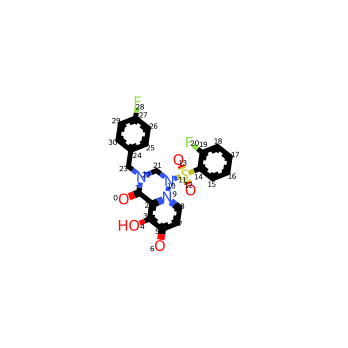 O=C1c2c(O)c(=O)ccn2N(S(=O)(=O)c2ccccc2F)CN1Cc1ccc(F)cc1